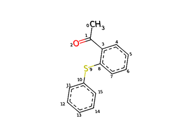 CC(=O)c1ccccc1Sc1[c]cccc1